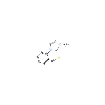 CCCCN1C=CN(c2ccccc2)C1.N#CS